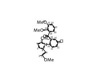 CO/C(C)=C/c1ccc(C=O)n1-c1ccc(Cl)cc1C(=O)c1cccc(OC)c1OC